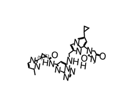 Cc1ccnc([C@H]2C[C@@H]2C(=O)Nc2cc(NCc3cn4cc(C5CC5)cc(N5CC(=O)N(C)C5O)c4n3)n3ncnc3n2)n1